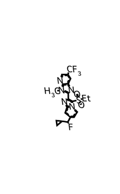 CCS(=O)(=O)c1c(-c2nc3cc(C(F)(F)F)cnc3n2C)nc2cc(C(F)C3CC3)ccn12